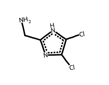 NCc1nc(Cl)c(Cl)[nH]1